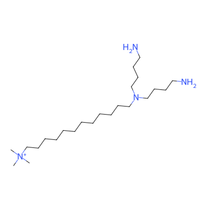 C[N+](C)(C)CCCCCCCCCCCCN(CCCCN)CCCCN